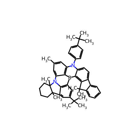 Cc1cc2c3c(c1)N1c4c(cc(C(C)(C)C)cc4C4(C)CCCCC14C)B3c1c(ccc3c1C(C)(C)c1ccccc1-3)N2c1ccc(C(C)(C)C)cc1